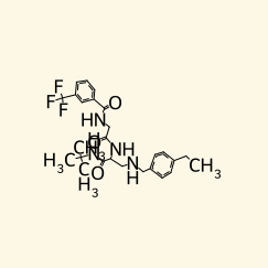 CCc1ccc(CNCC(NC(=O)CNC(=O)c2cccc(C(F)(F)F)c2)C(=O)NC(C)(C)C)cc1